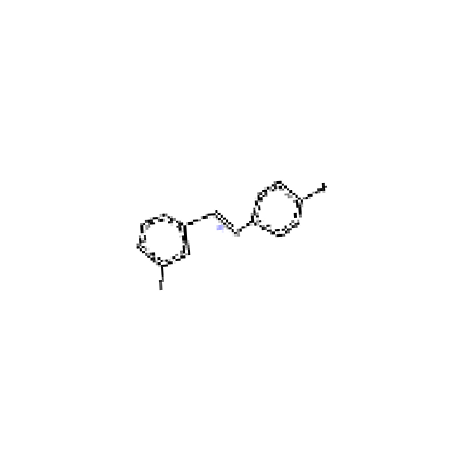 Fc1ccc(/N=C/c2cccc(F)c2)cc1